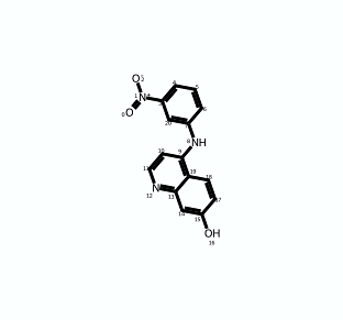 O=[N+]([O-])c1cccc(Nc2ccnc3cc(O)ccc23)c1